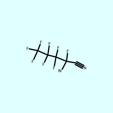 N#CC(F)(Br)C(F)(F)C(F)(F)C(F)(F)F